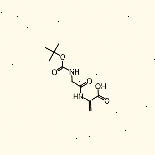 C=C(NC(=O)CNC(=O)OC(C)(C)C)C(=O)O